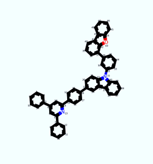 c1ccc(-c2cc(-c3ccccc3)nc(-c3ccc(-c4ccc5c(c4)c4ccccc4n5-c4cccc(-c5cccc6c5oc5ccccc56)c4)cc3)c2)cc1